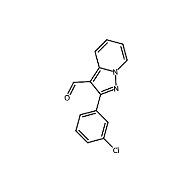 O=Cc1c(-c2cccc(Cl)c2)nn2ccccc12